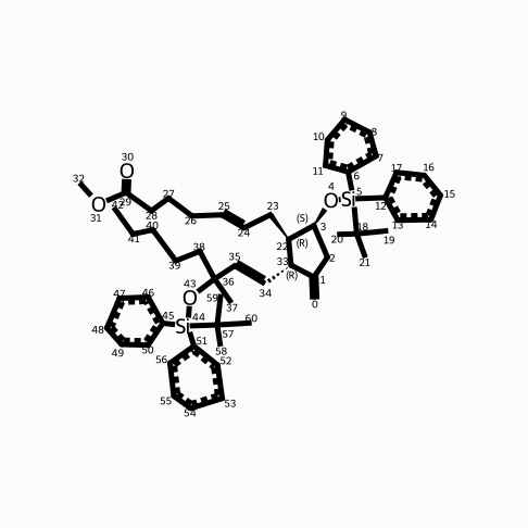 C=C1C[C@H](O[Si](c2ccccc2)(c2ccccc2)C(C)(C)C)[C@H](CC=CCCCC(=O)OC)[C@H]1C=CC(C)(CCCCC)O[Si](c1ccccc1)(c1ccccc1)C(C)(C)C